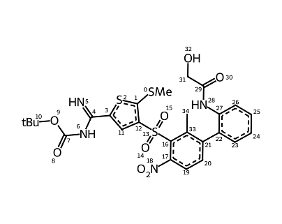 CSc1sc(C(=N)NC(=O)OC(C)(C)C)cc1S(=O)(=O)c1c([N+](=O)[O-])ccc(-c2ccccc2NC(=O)CO)c1C